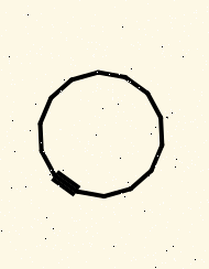 C1#CCCCCCCC[CH]CCCC1